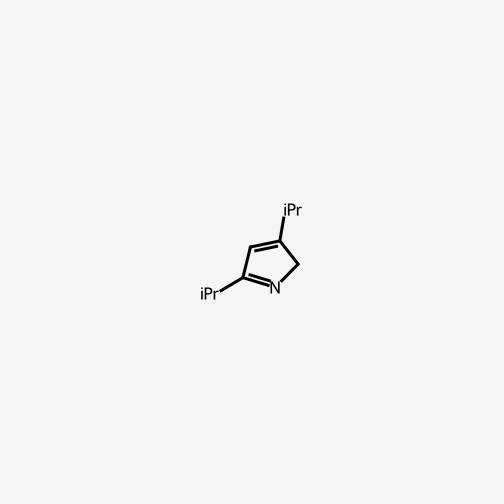 CC(C)C1=CC(C(C)C)=NC1